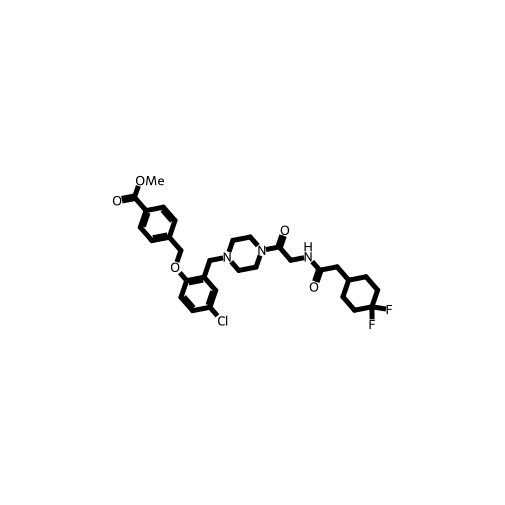 COC(=O)c1ccc(COc2ccc(Cl)cc2CN2CCN(C(=O)CNC(=O)CC3CCC(F)(F)CC3)CC2)cc1